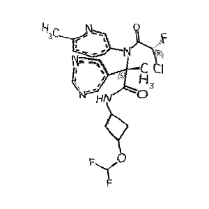 Cc1ccc(N(C(=O)[C@H](F)Cl)[C@](C)(C(=O)NC2CC(OC(F)F)C2)c2cncnc2)cn1